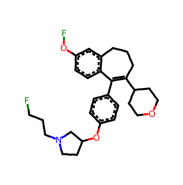 FCCCN1CCC(Oc2ccc(C3=C(C4CCOCC4)CCCc4cc(OF)ccc43)cc2)C1